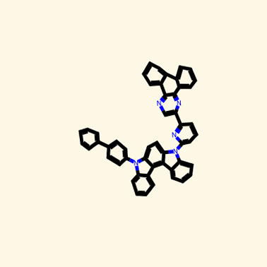 c1ccc(-c2ccc(-n3c4ccccc4c4c5c6ccccc6n(-c6cccc(-c7cnc8c9ccccc9c9ccccc9c8n7)n6)c5ccc43)cc2)cc1